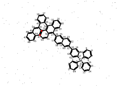 c1ccc([Si](c2ccccc2)(c2ccccc2)c2ccc(-c3ccc4cc(-c5c6ccccc6c(-c6ccccc6-c6ccc7ccccc7c6)c6ccccc56)ccc4c3)cc2)cc1